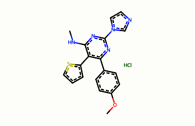 CNc1nc(-n2ccnc2)nc(-c2ccc(OC)cc2)c1-c1cccs1.Cl